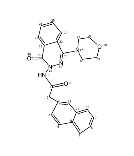 O=C(Cc1ccc2ccccc2c1)Nn1nc(N2CCOCC2)c2ccccc2c1=O